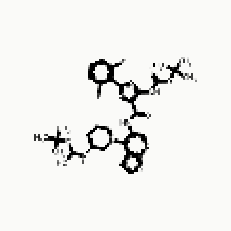 CC(C)(C)OC(=O)Nc1sc(-c2c(F)cccc2F)nc1C(=O)Nc1cnc2sccc2c1N1CCC[C@H](NC(O)OC(C)(C)C)C1